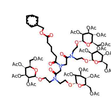 CC(=O)OC[C@H]1O[C@H](OCCN(CCO[C@H]2O[C@H](COC(C)=O)[C@@H](OC(C)=O)[C@H](OC(C)=O)[C@@H]2OC(C)=O)C(=O)CN(CC(=O)N(CCO[C@H]2O[C@H](COC(C)=O)[C@@H](OC(C)=O)[C@H](OC(C)=O)[C@@H]2OC(C)=O)CCO[C@H]2O[C@H](COC(C)=O)[C@@H](OC(C)=O)[C@H](OC(C)=O)[C@@H]2OC(C)=O)C(=O)CCCCC(=O)OCc2ccccc2)[C@@H](OC(C)=O)[C@@H](OC(C)=O)[C@@H]1OC(C)=O